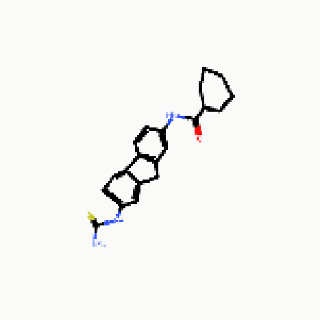 NC(=S)Nc1ccc2c(c1)Cc1cc(NC(=O)C3CCCCC3)ccc1-2